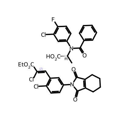 CCOC(=O)/C(Cl)=C/c1cc(N2C(=O)C3=C(CCCC3)C2=O)ccc1Cl.C[C@H](C(=O)O)N(C(=O)c1ccccc1)c1ccc(F)c(Cl)c1